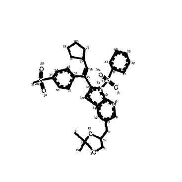 CC1(C)OCC(Cc2cnc3c(c2)cc(C(=CC2CCCC2)c2ccc(S(C)(=O)=O)cc2)n3S(=O)(=O)c2ccccc2)O1